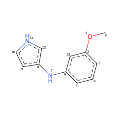 COc1cccc(Nc2cc[nH]c2)c1